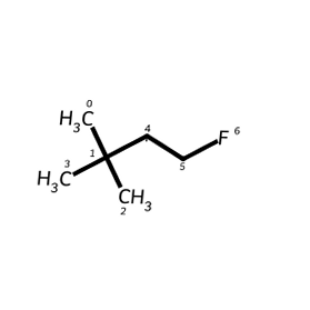 CC(C)(C)[CH]CF